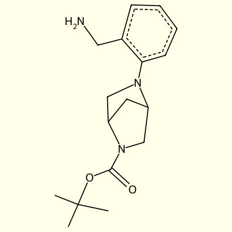 CC(C)(C)OC(=O)N1CC2CC1CN2c1ccccc1CN